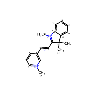 C[N+]1=C(/C=C/c2ccc[n+](C)c2)C(C)(C)c2ccccc21